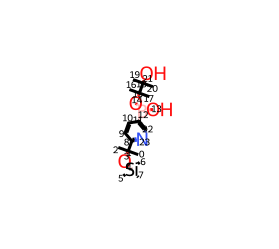 CC(C)(O[Si](C)(C)C)c1ccc(B(O)OC(C)(C)C(C)(C)O)cn1